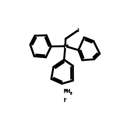 IC[P+](c1ccccc1)(c1ccccc1)c1ccccc1.P.[I-]